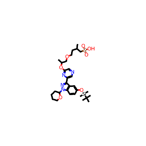 CC(CCOCC(C)Oc1cncc(-c2nn(C3CCCCO3)c3ccc(O[Si](C)(C)C(C)(C)C)cc23)n1)CS(=O)(=O)O